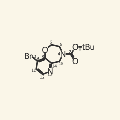 CC(C)(C)OC(=O)N1CCOc2c(Br)ccnc2C1